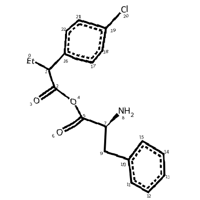 CCC(C(=O)OC(=O)[C@@H](N)Cc1ccccc1)c1ccc(Cl)cc1